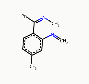 C=Nc1cc(C(F)(F)F)ccc1/C(=N\C)C(C)C